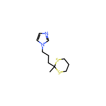 CC1(CCCn2ccnc2)SCCCS1